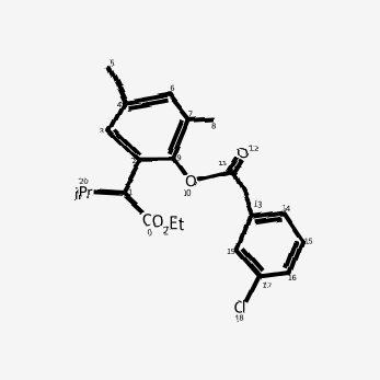 CCOC(=O)C(c1cc(C)cc(C)c1OC(=O)c1cccc(Cl)c1)C(C)C